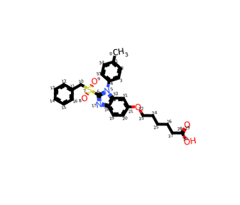 Cc1ccc(-n2c(S(=O)(=O)Cc3ccccc3)nc3ccc(OCCCCCC(=O)O)cc32)cc1